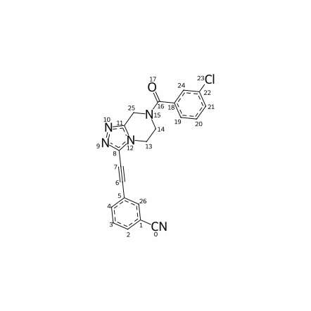 N#Cc1cccc(C#Cc2nnc3n2CCN(C(=O)c2cccc(Cl)c2)C3)c1